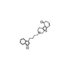 O=C1CC=Cc2sc3c(c21)CCN(CCCCc1c[nH]c2ccccc12)C3